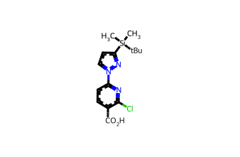 CC(C)(C)[Si](C)(C)c1ccn(-c2ccc(C(=O)O)c(Cl)n2)n1